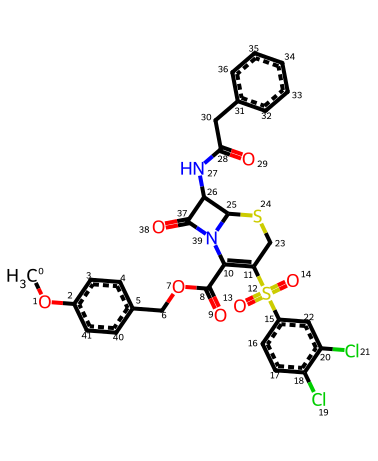 COc1ccc(COC(=O)C2=C(S(=O)(=O)c3ccc(Cl)c(Cl)c3)CSC3C(NC(=O)Cc4ccccc4)C(=O)N23)cc1